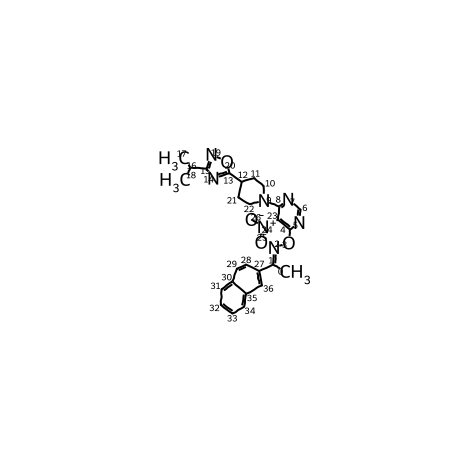 CC(=NOc1ncnc(N2CCC(c3nc(C(C)C)no3)CC2)c1[N+](=O)[O-])c1ccc2ccccc2c1